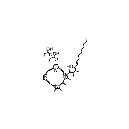 CCC(=O)O.CCC(=O)O.CCCCCCCCC=CC(O)=C(C)C(C)=C(C)C1=C(C)C2=NC1=CC1=NC(=CC3=NC(=CC4=NC(=C2C)C(C)=C4C)C=C3)C=C1